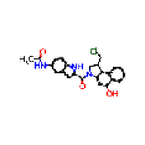 CC(=O)Nc1ccc2[nH]c(C(=O)N3CC(CCl)c4c3cc(O)c3ccccc43)cc2c1